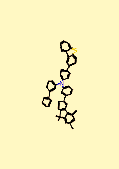 Cc1cc(C)c2c(c1)C(C)(C)c1ccc(-c3cccc(N(c4ccc(-c5ccc6sc7ccccc7c6c5)cc4)c4cccc(-c5ccccc5)c4)c3)cc1-2